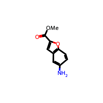 COC(=O)c1cc2cc(N)ccc2o1